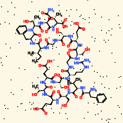 CC[C@H](C)[C@H](NC(=O)CNC(=O)[C@H](CO)NC(=O)[C@H](CCC(=O)O)NC(=O)[C@H](CO)NC(=O)CNC(=O)[C@H](CCCNC(=N)N)NC(=O)[C@H](CO)NC(=O)[C@H](CCC(=O)O)NC(=O)[C@@H](NC(=O)[C@H](CCC(=O)O)NC(=O)[C@H](CO)NC(=O)[C@@H](NC(=O)[C@@H](N)Cc1ccccc1)C(C)C)[C@@H](C)O)C(=O)N[C@@H](Cc1ccccc1)C(=O)N[C@H](C(=O)N[C@@H](CC(N)=O)C(=O)N[C@H](C(=O)O)[C@@H](C)O)[C@@H](C)O